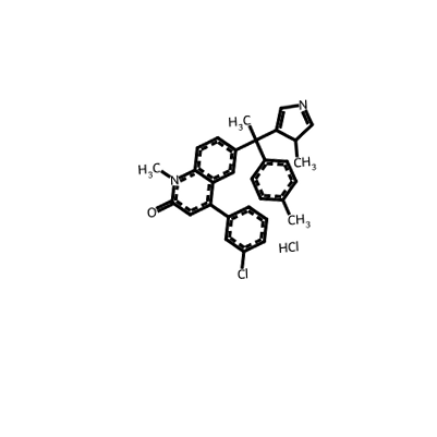 Cc1ccc(C(C)(C2=CN=CC2C)c2ccc3c(c2)c(-c2cccc(Cl)c2)cc(=O)n3C)cc1.Cl